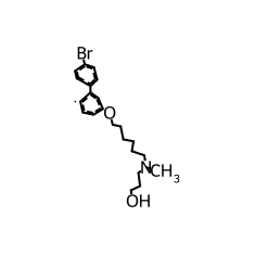 CN(CCCO)CCCCCCOc1cc[c]c(-c2ccc(Br)cc2)c1